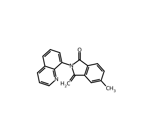 C=C1c2cc(C)ccc2C(=O)N1c1cccc2cccnc12